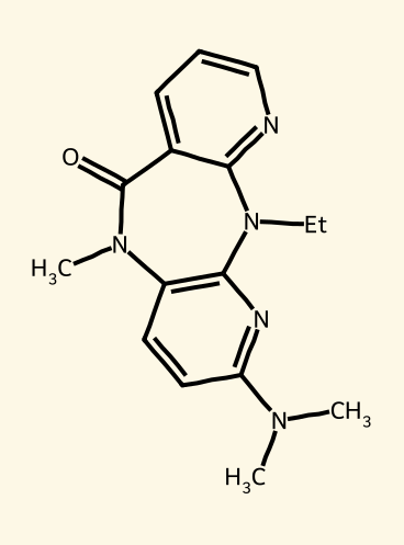 CCN1c2ncccc2C(=O)N(C)c2ccc(N(C)C)nc21